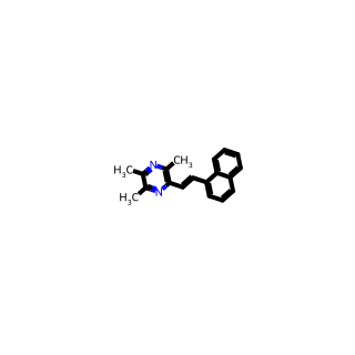 Cc1nc(C)c(C=Cc2cccc3ccccc23)nc1C